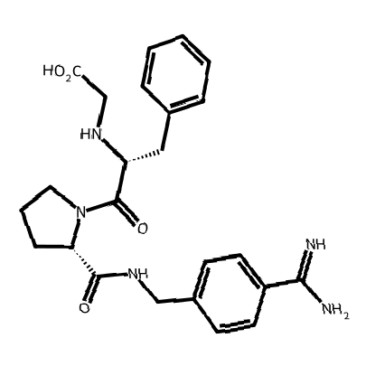 N=C(N)c1ccc(CNC(=O)[C@@H]2CCCN2C(=O)[C@@H](Cc2ccccc2)NCC(=O)O)cc1